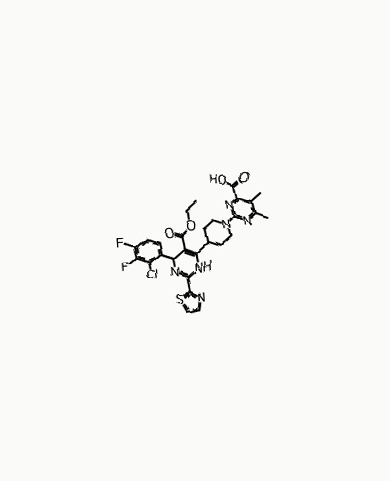 CCOC(=O)C1=C(C2CCN(c3nc(C)c(C)c(C(=O)O)n3)CC2)NC(c2nccs2)=NC1c1ccc(F)c(F)c1Cl